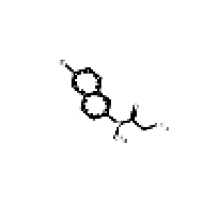 CCC(=O)N(C)c1ccc2cc(F)ccc2c1